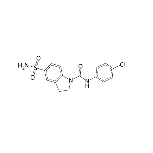 NS(=O)(=O)c1ccc2c(c1)CCN2C(=O)Nc1ccc(Cl)cc1